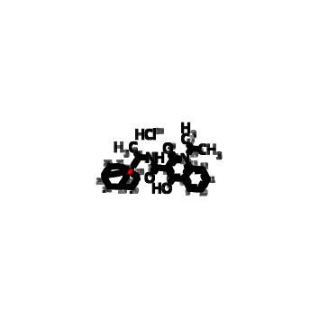 CC(NC(=O)c1c(O)c2ccccc2n(C(C)C)c1=O)N1C2CC3CC(C2)CC1C3.Cl